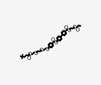 C=CC(=O)OCCOC(=O)c1ccc(-c2ccc(OC(=O)c3ccc(OCCOCCOCCOC(=O)CCC(C)(C)C)cc3)cc2)cc1